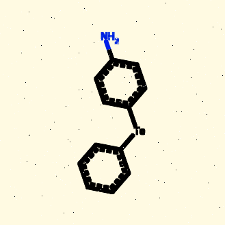 Nc1ccc([Te]c2ccccc2)cc1